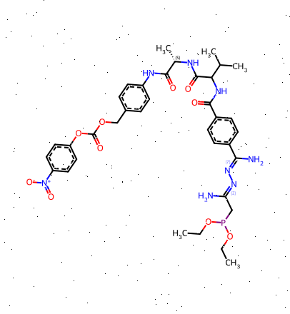 CCOP(C/C(N)=N/N=C(\N)c1ccc(C(=O)NC(C(=O)N[C@@H](C)C(=O)Nc2ccc(COC(=O)Oc3ccc([N+](=O)[O-])cc3)cc2)C(C)C)cc1)OCC